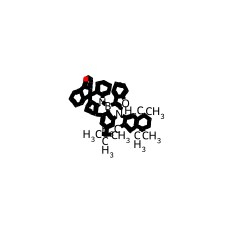 Cc1cc2c(cc1N1c3cc(C(C)(C)C)cc4c3B(c3c1oc1ccccc31)N1c3ccccc3C3(c5ccccc5-c5ccccc53)c3cccc-4c31)C(C)(C)CCC2(C)C